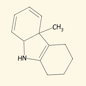 CC12C=CC=CC1NC1=C2CCCC1